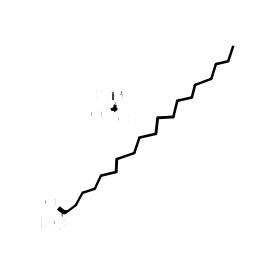 CCCCCCCCCCCCCCCCCCC(=O)O.O=C([O-])[O-].[Ca+2]